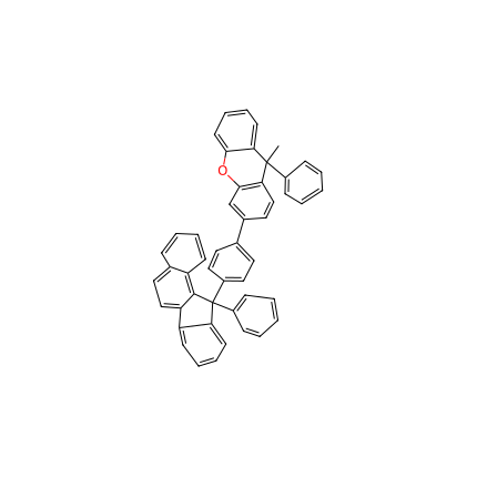 CC1(c2ccccc2)c2ccccc2Oc2cc(-c3ccc(C4(c5ccccc5)c5ccccc5-c5ccc6ccccc6c54)cc3)ccc21